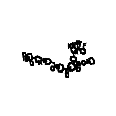 CC(C)n1cnc2cc(-c3ccc4c(c3)N(C3CC(N5CCCCC5)C3)C(=O)C43CCN(C(=O)C4CCN(C(=O)CC5CCN(c6ccc(C7CCC(=O)NC7=O)cn6)CC5)CC4)CC3)nc(Nc3ccccc3F)c21